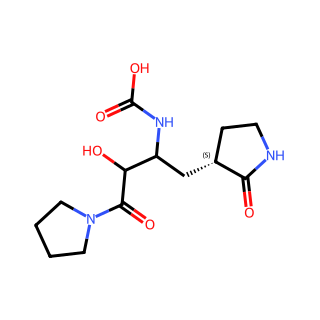 O=C(O)NC(C[C@@H]1CCNC1=O)C(O)C(=O)N1CCCC1